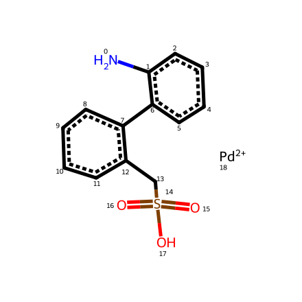 Nc1ccccc1-c1ccccc1CS(=O)(=O)O.[Pd+2]